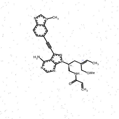 C=CC(=O)NC[C@H](C/C(=C/C)COC)n1nc(C#Cc2ccc3ncn(C)c3c2)c2c(N)ncnc21